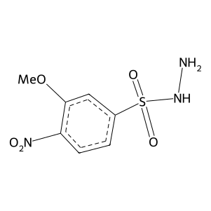 COc1cc(S(=O)(=O)NN)ccc1[N+](=O)[O-]